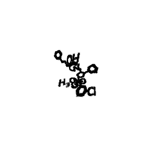 CN(C1CC(CN2CCC(O)(CCCc3ccccc3)CC2)C(c2ccccc2)C1)S(=O)(=O)c1cccc(Cl)c1